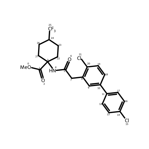 COC(=O)C1(NC(=O)Cc2cc(-c3ccc(Cl)cc3)ccc2Cl)CCC(C(F)(F)F)CC1